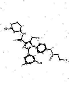 N#Cc1cc(F)cc(-c2nc(C(=O)NC3CCCC(O)C3)c(CO)n2-c2ccc(OS(=O)CCC(F)(F)F)cc2)c1